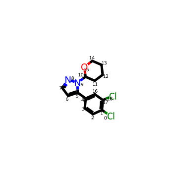 Clc1ccc(-c2ccnn2C2CCCCO2)cc1Cl